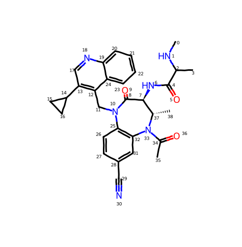 CNC(C)C(=O)N[C@@H]1C(=O)N(Cc2c(C3CC3)cnc3ccccc23)c2ccc(C#N)cc2N(C(C)=O)[C@H]1C